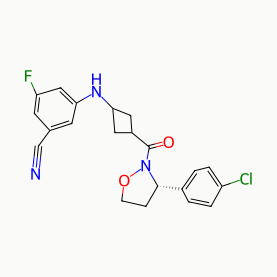 N#Cc1cc(F)cc(NC2CC(C(=O)N3OCC[C@H]3c3ccc(Cl)cc3)C2)c1